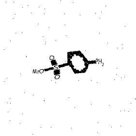 COS(=O)(=O)c1ccc(P)cc1